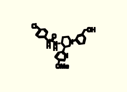 COc1ccc([C@@H]2CN(c3cccc(CO)c3)CC[C@H]2NC(=O)Nc2ccc(Cl)cc2)nc1